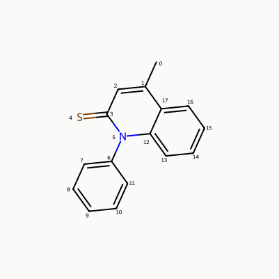 Cc1cc(=S)n(-c2ccccc2)c2ccccc12